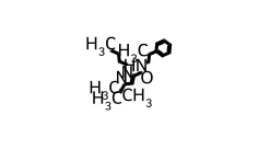 CCCCCn1nc(C(C)(C)C)cc1C(=O)NCC(C)c1ccccc1